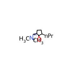 CCCC1CC/C(=C/N(C)C)C1=O